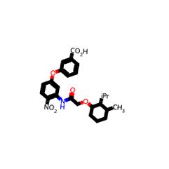 CC(C)C1C(C)CCCC1OCC(=O)Nc1cc(Oc2cccc(C(=O)O)c2)ccc1[N+](=O)[O-]